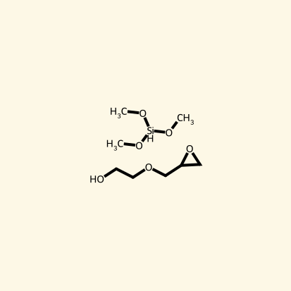 CO[SiH](OC)OC.OCCOCC1CO1